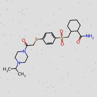 CC(C)N1CCN(C(=O)CSc2ccc(S(=O)(=O)CC3CCCCC3C(N)=O)cc2)CC1